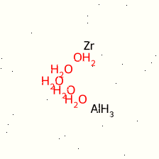 O.O.O.O.O.[AlH3].[Zr]